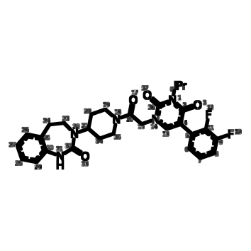 CC(C)n1c(=O)c(-c2cccc(F)c2F)cn(CC(=O)N2CCC(N3CCc4ccccc4NC3=O)CC2)c1=O